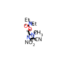 CCN(CC)C(=O)OCc1nc([N+](=O)[O-])c(C#N)n1C